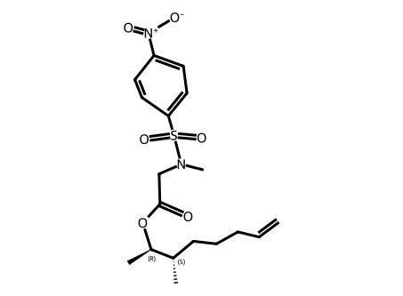 C=CCCC[C@H](C)[C@@H](C)OC(=O)CN(C)S(=O)(=O)c1ccc([N+](=O)[O-])cc1